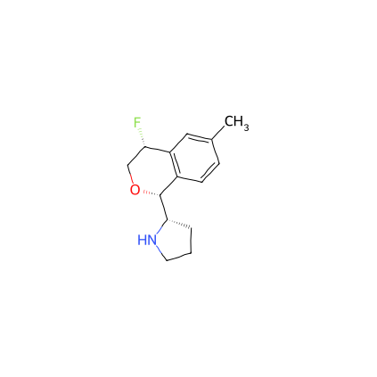 Cc1ccc2c(c1)[C@@H](F)CO[C@H]2[C@@H]1CCCN1